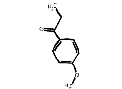 C[CH]C(=O)c1ccc(OC)cc1